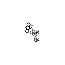 CC1(C)CCN1CCS(=O)(=O)NC(=O)Nc1c2c(cc3c1CCC3)CCC2